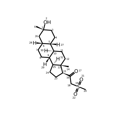 C[C@@]1(O)CC[C@H]2[C@H](CC[C@@H]3[C@@H]2CC[C@]2(C)[C@@H](C(=O)CS(C)(=O)=O)CC[C@@H]32)C1